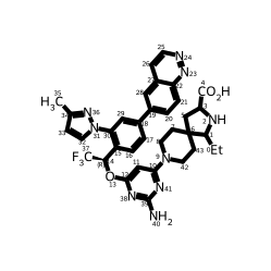 CCC1NC(C(=O)O)CC12CCN(c1cc(O[C@H](c3ccc(-c4ccc5nnccc5c4)cc3-n3ccc(C)n3)C(F)(F)F)nc(N)n1)CC2